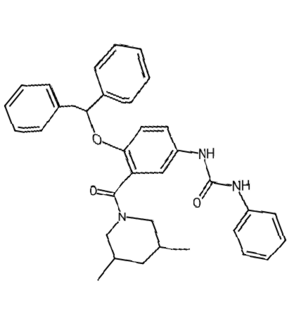 CC1CC(C)CN(C(=O)c2cc(NC(=O)Nc3ccccc3)ccc2OC(c2ccccc2)c2ccccc2)C1